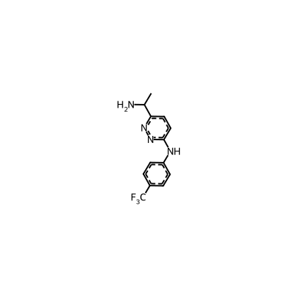 CC(N)c1ccc(Nc2ccc(C(F)(F)F)cc2)nn1